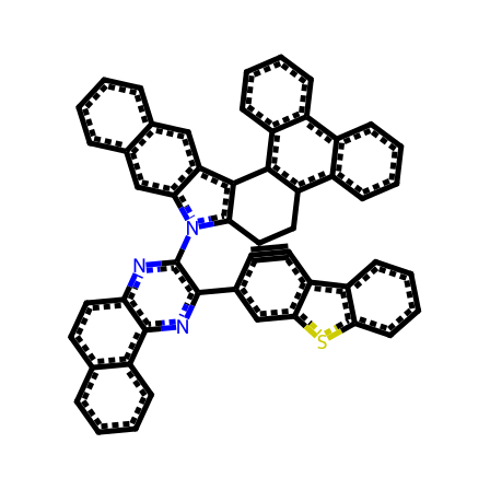 c1c(-c2nc3c(ccc4ccccc43)nc2-n2c3c(c4cc5ccccc5cc42)-c2c(c4ccccc4c4ccccc24)CC3)cc2sc3ccccc3c2c#1